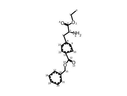 CCOC(=O)[C@@H](N)Cc1ccc(C(=O)OCc2ccccc2)cc1